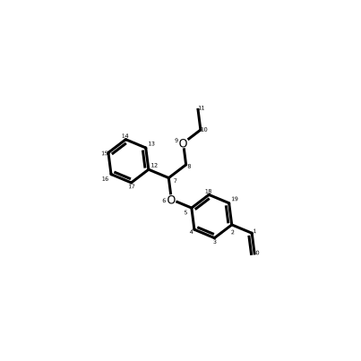 C=Cc1ccc(OC(COCC)c2ccccc2)cc1